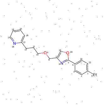 CCc1ccc(-c2nc(COCCCc3ccccn3)co2)cc1